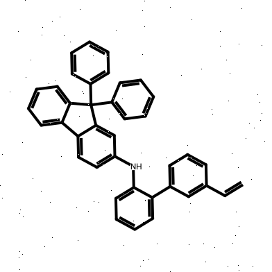 C=Cc1cccc(-c2ccccc2Nc2ccc3c(c2)C(c2ccccc2)(c2ccccc2)c2ccccc2-3)c1